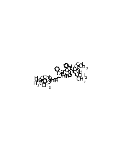 CC(C)C[C@@H](/C=C/[C@H](Cc1ccccc1)C(=O)N1CCC[C@@H]1C(=O)N[C@@H](CCCCNC(=O)OC1CC(C)(C)N(O)C(C)(C)C1)C(=O)OC1CCCCC1)NC(=O)OC(C)(C)C